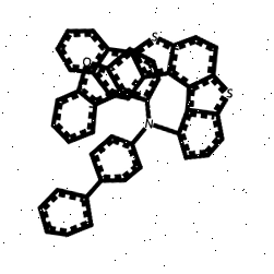 c1ccc(-c2ccc(N(c3cccc4oc5ccccc5c34)c3cccc4sc5ccc6sc7c8ccccc8ccc7c6c5c34)cc2)cc1